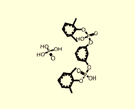 Cc1cccc(C)c1OP(=O)(O)Oc1cccc(OP(=O)(O)Oc2c(C)cccc2C)c1.O=P(O)(O)O